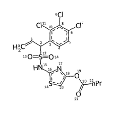 C=CC(c1ccc(Cl)c(Cl)c1Cl)S(=O)(=O)Nc1nc(OC(=O)CCC)cs1